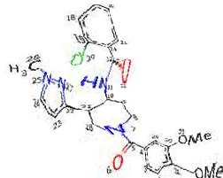 COc1ccc(C(=O)N2CC[C@H](NC(=O)c3ccccc3Cl)[C@H](c3ccn(C)n3)C2)cc1OC